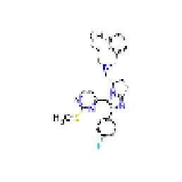 CCCCN(Cc1ccccc1)C[C@@H]1CCc2nc(-c3ccc(F)cc3)c(-c3ccnc(SC)n3)n21